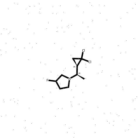 C[C@H]([C@H]1CC1(Cl)Cl)N1CCC(F)C1